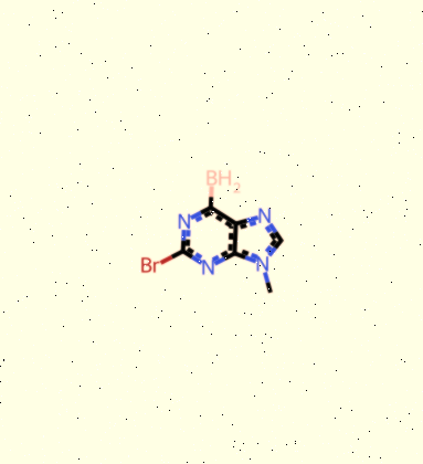 Bc1nc(Br)nc2c1ncn2C